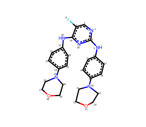 Fc1cnc(Nc2ccc(N3CCOCC3)cc2)nc1Nc1ccc(N2CCOCC2)cc1